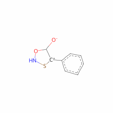 [O-]C1ONS[C+]1c1ccccc1